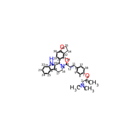 C[C@H](CN(C)C)Oc1ccc(/C=C/C(=O)N2CCc3c([nH]c4ccccc34)C2c2ccc3c(c2)CCO3)cc1